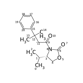 CC(C)[C@H]1COC(=O)N1C(=O)[CH]C(C)(C)c1ccccc1